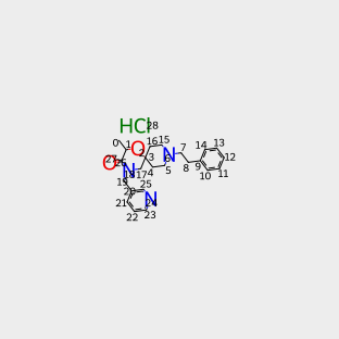 CC1OC2(CCN(CCc3ccccc3)CC2)CN(Cc2cccnc2)C1=O.Cl